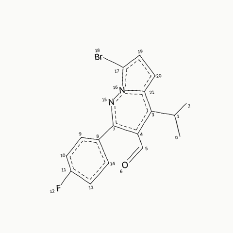 CC(C)c1c(C=O)c(-c2ccc(F)cc2)nn2c(Br)ccc12